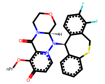 CCCOc1c2n(ccc1=O)N([C@@H]1c3ccccc3SCc3c1ccc(F)c3F)[C@@H]1COCCN1C2=O